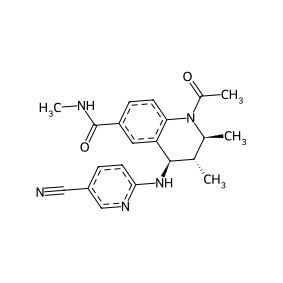 CNC(=O)c1ccc2c(c1)[C@H](Nc1ccc(C#N)cn1)[C@@H](C)[C@H](C)N2C(C)=O